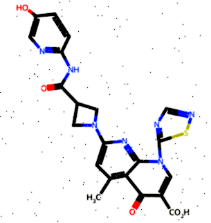 Cc1cc(N2CC(C(=O)Nc3ccc(O)cn3)C2)nc2c1c(=O)c(C(=O)O)cn2-c1ncns1